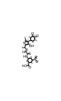 C/C(=N\NC(=S)Nc1cc(C(=O)O)cc([N+](=O)[O-])c1)c1nn(C)c(-c2ccc(Cl)c(Cl)c2)c1O